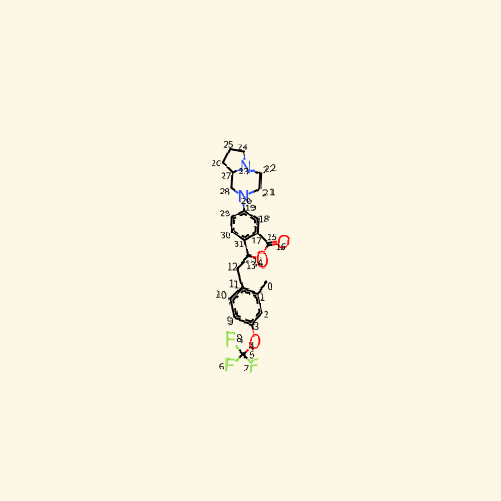 Cc1cc(OC(F)(F)F)ccc1CC1OC(=O)c2cc(N3CCN4CCCC4C3)ccc21